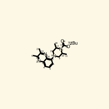 Cc1nc2cccc(N3CC(C)N(C(=O)OC(C)(C)C)C(C)C3)c2nc1C